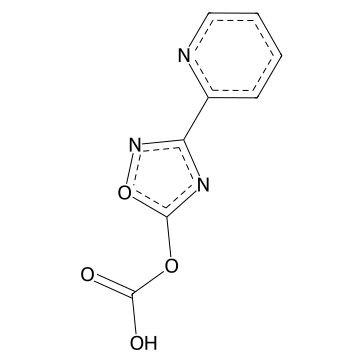 O=C(O)Oc1nc(-c2ccccn2)no1